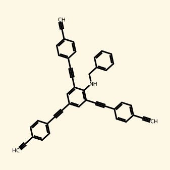 C#Cc1ccc(C#Cc2cc(C#Cc3ccc(C#C)cc3)c(NCc3ccccc3)c(C#Cc3ccc(C#C)cc3)c2)cc1